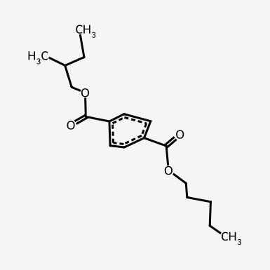 CCCCCOC(=O)c1ccc(C(=O)OCC(C)CC)cc1